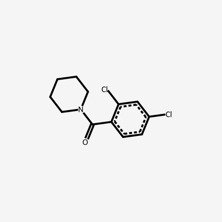 O=C(c1ccc(Cl)cc1Cl)N1CCCCC1